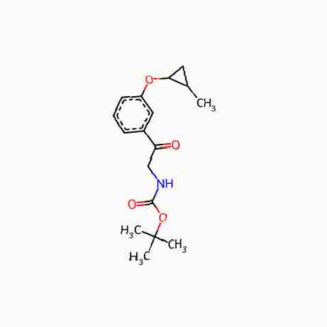 CC1CC1Oc1cccc(C(=O)CNC(=O)OC(C)(C)C)c1